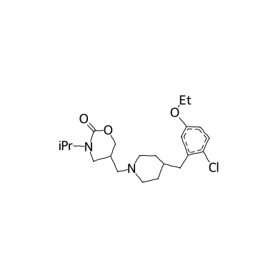 CCOc1ccc(Cl)c(CC2CCN(CC3COC(=O)N(C(C)C)C3)CC2)c1